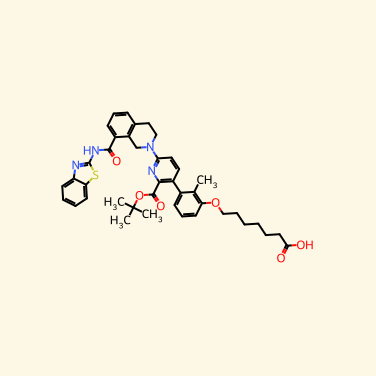 Cc1c(OCCCCCCC(=O)O)cccc1-c1ccc(N2CCc3cccc(C(=O)Nc4nc5ccccc5s4)c3C2)nc1C(=O)OC(C)(C)C